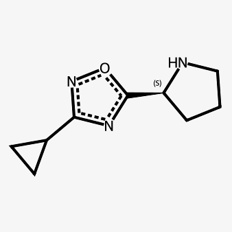 C1CN[C@H](c2nc(C3CC3)no2)C1